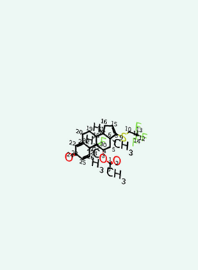 CC(=O)O[C@H]1C[C@]2(C)C(SCC(F)(F)F)=CC[C@H]2[C@@H]2CCC3=CC(=O)C=C[C@]3(C)C12F